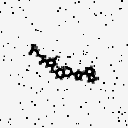 NCC(CN1CCC(Oc2cc(F)cc(C(=O)NCCC(N)=O)c2)CC1)n1cc(-c2ncnc3[nH]ccc23)cn1